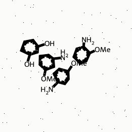 COc1ccc(N)cc1.COc1cccc(N)c1.COc1ccccc1N.Oc1cccc(O)c1